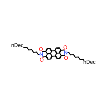 CCCCCCCCCCCCCCCCCN1C(=O)c2ccc3c4ccc5c6c(ccc(c7ccc(c2c37)C1=O)c64)C(=O)N(CCCCCCCCCCCCCCCCC)C5=O